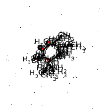 CC(C)C[C@@H]1NC(=O)[C@@H](Cc2ccccc2)NC(=O)[C@H](CCNC(=O)OC(C)(C)C)NC(=O)[C@@H](NC(=O)[C@H](CCNC(=O)OC(C)(C)C)NC(=O)[C@@H](N)C(C)O)CCNC(=O)[C@H]([C@H](C)O)NC(=O)[C@H](CCCNC(=O)OC(C)(C)C)NC(=O)[C@H](CCNC(=O)OC(C)(C)C)NC1=O